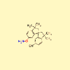 CC1(C)CC2(CC(C)(C)c3ccc(ON)cc32)c2cc(N=O)ccc21